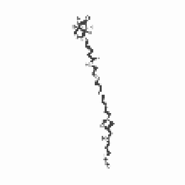 [N-]=[N+]=NCCCNCc1cn(CCOCCOCCOCCNC(=O)CCCC[C@@H]2SC[C@@H]3NC(=O)N[C@@H]32)nn1